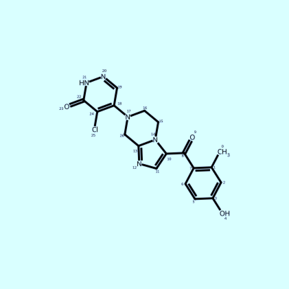 Cc1cc(O)ccc1C(=O)c1cnc2n1CCN(c1cn[nH]c(=O)c1Cl)C2